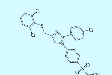 CCS(=O)(=O)c1ccc(-n2cc(CSc3c(Cl)cccc3Cl)nc2-c2ccc(Cl)cc2)cc1